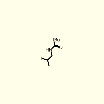 CC(I)CNC(=O)C(C)(C)C